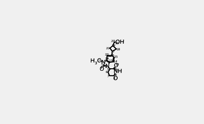 Cn1c(=O)n(C2CCC(=O)NC2=O)c2ccc(C3CC(CO)C3)cc21